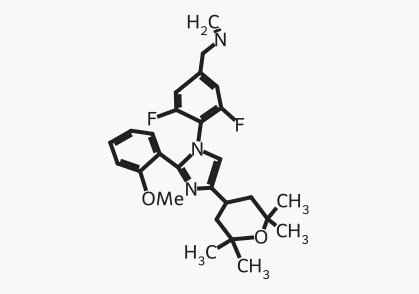 C=NCc1cc(F)c(-n2cc(C3CC(C)(C)OC(C)(C)C3)nc2-c2ccccc2OC)c(F)c1